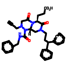 C#CCN1CC(=O)N2[C@@H](CCC(=O)O)C(=O)N(CCC(c3ccccc3)c3ccccc3)C[C@@H]2N1C(=O)NCc1ccccc1